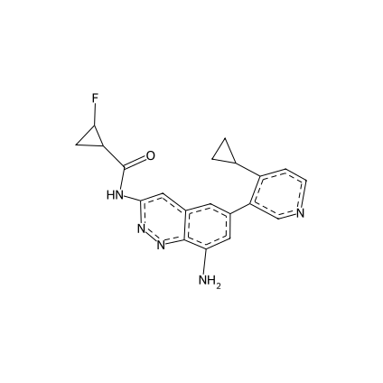 Nc1cc(-c2cnccc2C2CC2)cc2cc(NC(=O)C3CC3F)nnc12